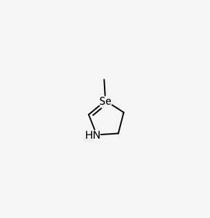 C[Se]1=CNCC1